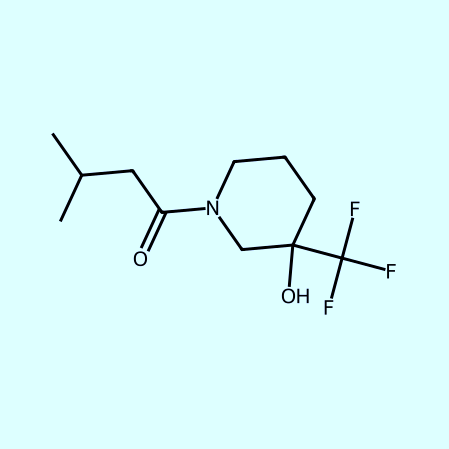 CC(C)CC(=O)N1CCCC(O)(C(F)(F)F)C1